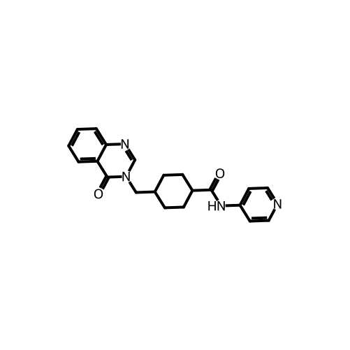 O=C(Nc1ccncc1)C1CCC(Cn2cnc3ccccc3c2=O)CC1